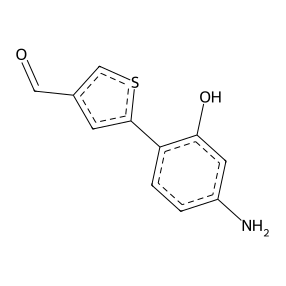 Nc1ccc(-c2cc(C=O)cs2)c(O)c1